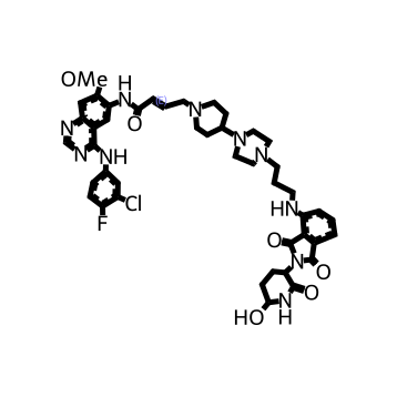 COc1cc2ncnc(Nc3ccc(F)c(Cl)c3)c2cc1NC(=O)/C=C/CN1CCC(N2CCN(CCCNc3cccc4c3C(=O)N(C3CCC(O)NC3=O)C4=O)CC2)CC1